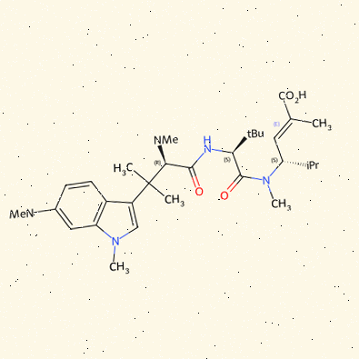 CNc1ccc2c(C(C)(C)[C@@H](NC)C(=O)N[C@H](C(=O)N(C)[C@H](/C=C(\C)C(=O)O)C(C)C)C(C)(C)C)cn(C)c2c1